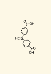 Cl.O=C(O)c1ccc(Sc2ccc(C(=O)O)cc2)cc1